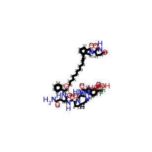 CN1CC[C@H]2CC[C@@H](C(=O)NC(CCC(N)=O)C(=O)NC(COCCCCCCCCCC#Cc3cccc4c3CN(C3CCC(=O)NC3=O)C4=O)c3ccccc3)N2C(=O)[C@@H](NC(=O)c2cc3cc(C(F)(F)P(=O)(O)O)ccc3[nH]2)C1